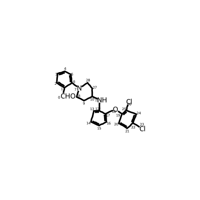 O=Cc1ccccc1N1CCC(Nc2ccccc2Oc2ccc(Cl)cc2Cl)CC1